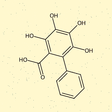 O=C(O)c1c(O)c(O)c(O)c(O)c1-c1ccccc1